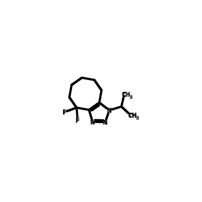 CC(C)n1nnc2c1CCCCCC2(F)F